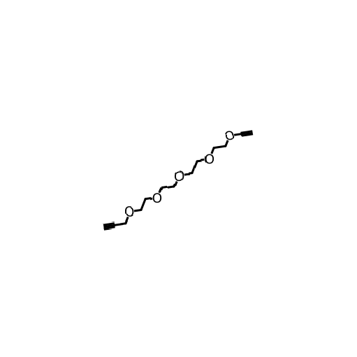 C#CCOCCOCCOCCOCCOC#C